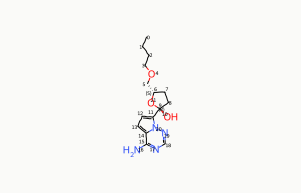 CCCCOC[C@@H]1CC[C@](O)(c2ccc3c(N)ncnn23)O1